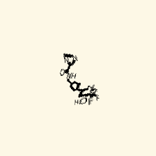 O=C(NCc1ccc(C2=NOC(O)(C(F)(F)F)C2)cc1)c1cnccn1